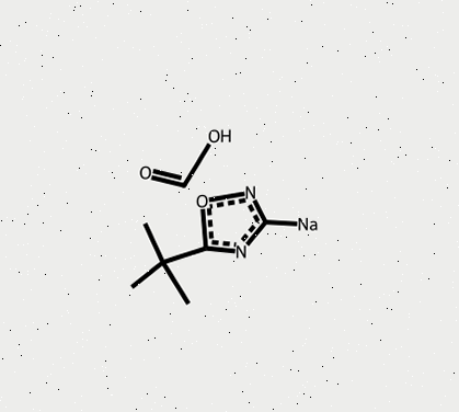 CC(C)(C)c1n[c]([Na])no1.O=CO